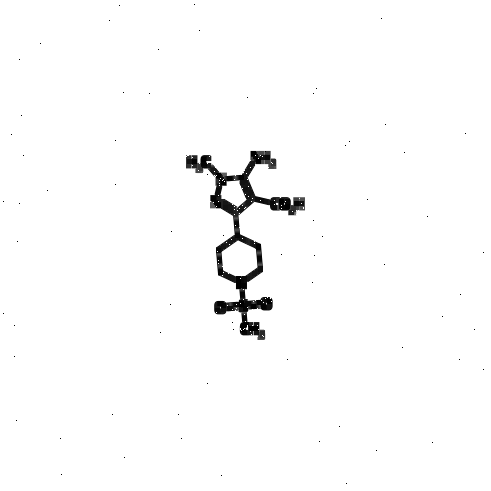 Cn1nc(C2CCN(S(C)(=O)=O)CC2)c(C(=O)O)c1N